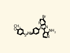 COc1ccc(SNCc2ccc(-n3c(-c4cccnc4N)nc4cc(Br)cnc43)cc2)cc1